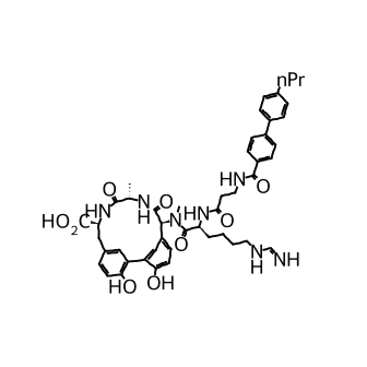 CCCc1ccc(-c2ccc(C(=O)NCCC(=O)N[C@@H](CCCCNC=N)C(=O)N(C)[C@@H]3C(=O)N[C@@H](C)C(=O)N[C@H](C(=O)O)Cc4ccc(O)c(c4)-c4cc3ccc4O)cc2)cc1